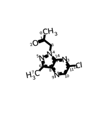 CC(=O)Cn1nc(C)c2ncc(Cl)nc21